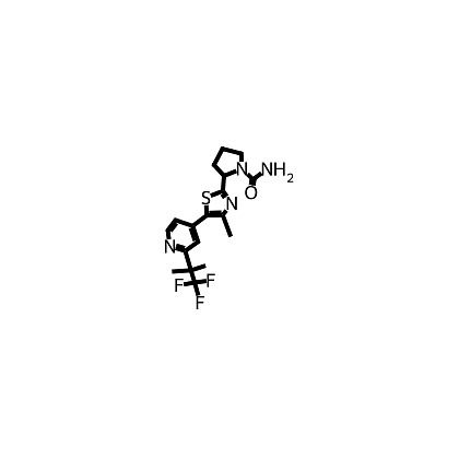 Cc1nc(C2CCCN2C(N)=O)sc1-c1ccnc(C(C)(C)C(F)(F)F)c1